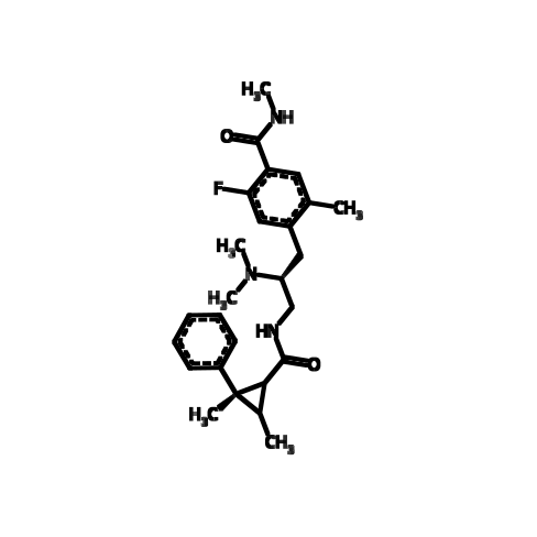 CNC(=O)c1cc(C)c(C[C@@H](CNC(=O)C2C(C)[C@]2(C)c2ccccc2)N(C)C)cc1F